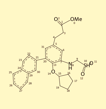 COC(=O)CCc1cc(NC[SH](=O)=O)c(OC2CCCC2)c(-c2ccc3ccccc3c2)c1